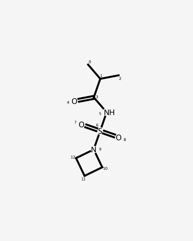 CC(C)C(=O)NS(=O)(=O)N1CCC1